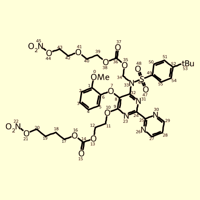 COc1ccccc1Oc1c(OCCOC(=O)OCCCCO[N+](=O)[O-])nc(-c2ncccn2)nc1N(COC(=O)OCCOCCO[N+](=O)[O-])S(=O)(=O)c1ccc(C(C)(C)C)cc1